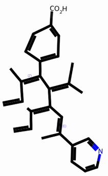 C=CC(C)=C(/C=C(\C)c1cccnc1)C(=C(C)C)/C(=C(/C)C=C)c1ccc(C(=O)O)cc1